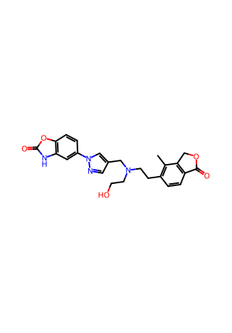 Cc1c(CCN(CCO)Cc2cnn(-c3ccc4oc(=O)[nH]c4c3)c2)ccc2c1COC2=O